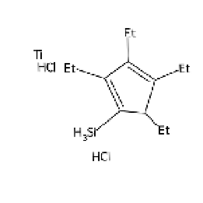 CCC1=C([SiH3])C(CC)C(CC)=C1CC.Cl.Cl.[Ti]